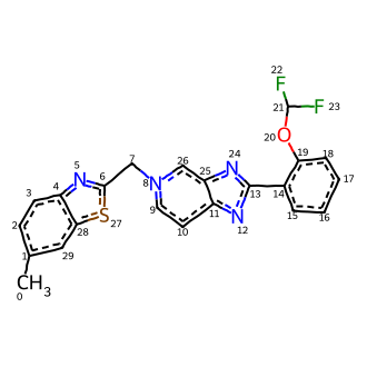 Cc1ccc2nc(Cn3ccc4nc(-c5ccccc5OC(F)F)nc-4c3)sc2c1